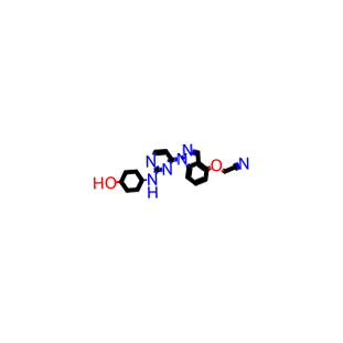 N#CCOc1cccc2c1cnn2-c1ccnc(N[C@H]2CC[C@H](O)CC2)n1